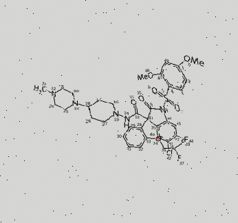 COc1ccc(S(=O)(=O)N2C(=O)C(C(=O)NN3CCC(N4CCN(C)CC4)CC3)(c3ccccc3OCC(F)F)c3cc(Cl)c(F)cc32)c(OC)c1